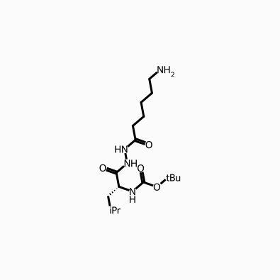 CC(C)C[C@@H](NC(=O)OC(C)(C)C)C(=O)NNC(=O)CCCCCN